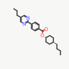 CCCC[C@H]1CC[C@H](OC(=O)c2ccc(-c3ncc(CCC)cn3)cc2)CC1